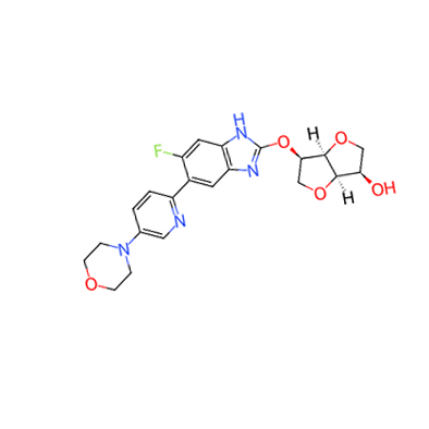 O[C@@H]1CO[C@H]2[C@@H]1OC[C@H]2Oc1nc2cc(-c3ccc(N4CCOCC4)cn3)c(F)cc2[nH]1